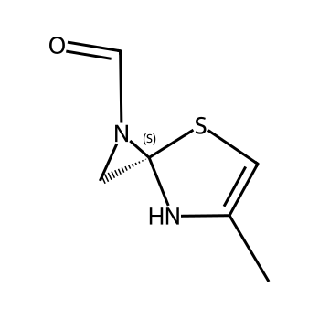 CC1=CS[C@@]2(CN2C=O)N1